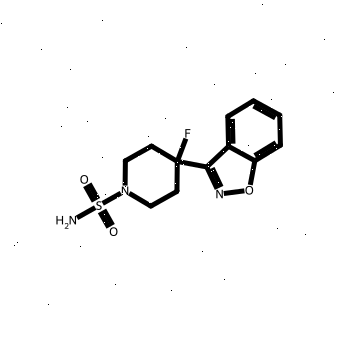 NS(=O)(=O)N1CCC(F)(c2noc3ccccc23)CC1